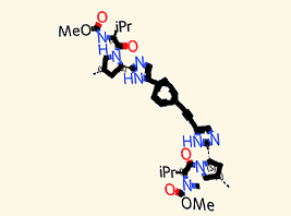 COC(=O)N[C@H](C(=O)N1C[C@@H](C)C[C@H]1c1ncc(-c2ccc(C#Cc3cnc([C@@H]4C[C@H](C)CN4C(=O)[C@H](C(C)C)N(C)C(=O)OC)[nH]3)cc2)[nH]1)C(C)C